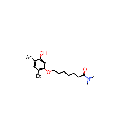 CCc1cc(C(C)=O)c(O)cc1OCCCCCCC(=O)N(C)C